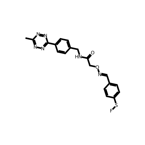 Cc1nnc(-c2ccc(CNC(=O)CO/N=C/c3ccc(SF)cc3)cc2)nn1